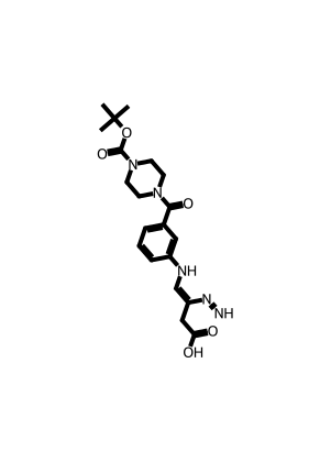 CC(C)(C)OC(=O)N1CCN(C(=O)c2cccc(N/C=C(/CC(=O)O)N=N)c2)CC1